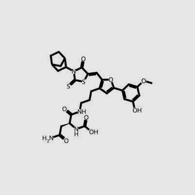 COc1cc(O)cc(-c2cc(CCCNC(=O)[C@H](CC(N)=O)NC(=O)O)c(C=C3SC(=S)N(C4CC5CCC4C5)C3=O)o2)c1